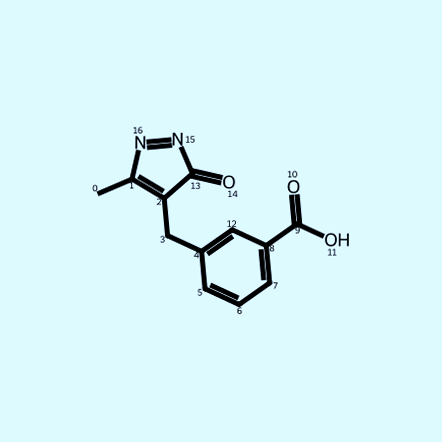 CC1=C(Cc2cccc(C(=O)O)c2)C(=O)N=N1